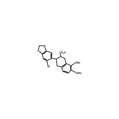 CCc1cc2c(cc1C1Cc3ccc(OC)c(OC)c3CN1C(=O)O)OCO2